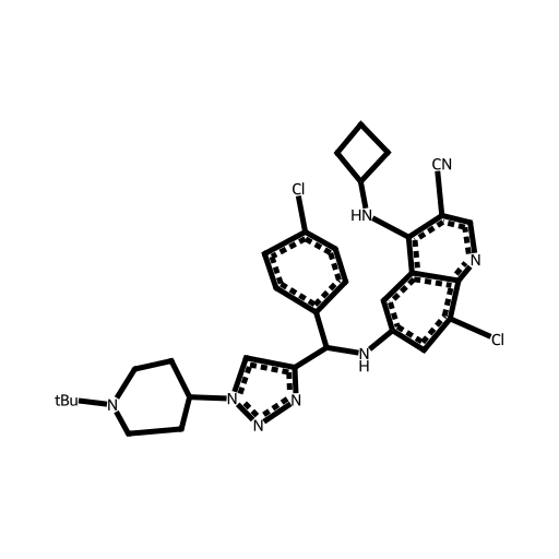 CC(C)(C)N1CCC(n2cc(C(Nc3cc(Cl)c4ncc(C#N)c(NC5CCC5)c4c3)c3ccc(Cl)cc3)nn2)CC1